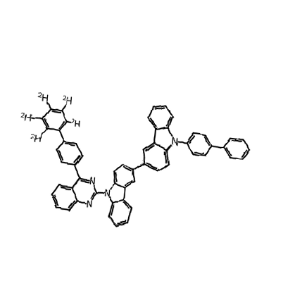 [2H]c1c([2H])c([2H])c(-c2ccc(-c3nc(-n4c5ccccc5c5cc(-c6ccc7c(c6)c6ccccc6n7-c6ccc(-c7ccccc7)cc6)ccc54)nc4ccccc34)cc2)c([2H])c1[2H]